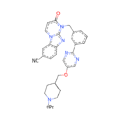 CCCN1CCC(COc2cnc(-c3cccc(Cn4c(=O)ccn5c6cc(C#N)ccc6nc45)c3)nc2)CC1